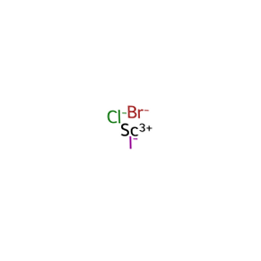 [Br-].[Cl-].[I-].[Sc+3]